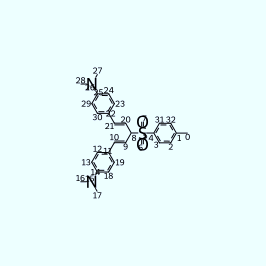 Cc1ccc(S(=O)(=O)C(/C=C/c2ccc(N(C)C)cc2)/C=C/c2ccc(N(C)C)cc2)cc1